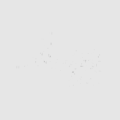 Cc1ccc(-c2nc(-c3ccc(C)cc3)nc(-c3ccc4cc(-n5c6ccccc6c6c7c(c8c(c9ccccc9n8-c8ccccc8)c65)C(C)(C)c5ccccc5-7)ccc4c3)n2)cc1